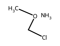 COCCl.N